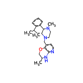 CC1COc2c(CN3CCN(C)C(c4ccccc4C(C)C)C3)ccnc2N1